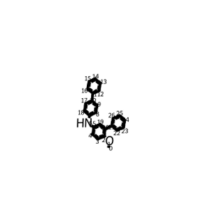 COc1ccc(Nc2ccc(-c3ccccc3)cc2)cc1-c1ccccc1